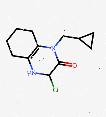 O=C1C(Cl)NC2=C(CCCC2)N1CC1CC1